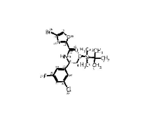 CC(C)(C)[Si](C)(C)OC[C@@H](NC(=O)c1nc(Br)co1)c1cc(F)cc(Cl)c1